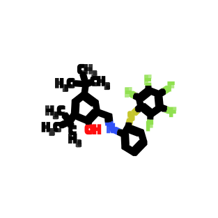 CC(C)(C)c1cc(/C=N/c2ccccc2Sc2c(F)c(F)c(F)c(F)c2F)c(O)c(C(C)(C)C)c1